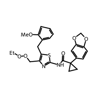 CCOOCc1nc(NC(=O)C2(c3ccc4c(c3)OCO4)CC2)sc1Cc1ccccc1OC